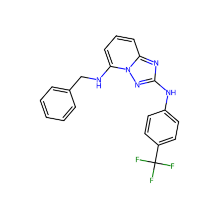 FC(F)(F)c1ccc(Nc2nc3cccc(NCc4ccccc4)n3n2)cc1